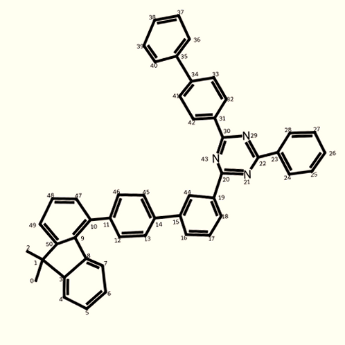 CC1(C)c2ccccc2-c2c(-c3ccc(-c4cccc(-c5nc(-c6ccccc6)nc(-c6ccc(-c7ccccc7)cc6)n5)c4)cc3)cccc21